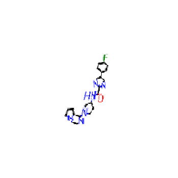 O=C(NC1CCN(c2nccn3cccc23)C1)c1ncc(-c2ccc(F)cc2)cn1